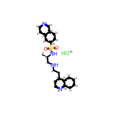 C[C@H](CNCCc1ccnc2ccccc12)NS(=O)(=O)c1ccc2cnccc2c1.Cl